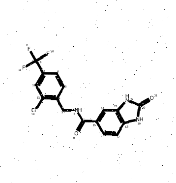 O=C(NCc1ccc(C(F)(F)F)cc1Cl)c1ccc2[nH]c(=O)[nH]c2c1